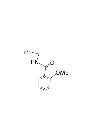 COc1ccccc1C(=O)NCC(C)C